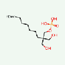 CCCCCCCCCCCCCCCCC(CO)(CO)COP(=O)(O)O